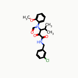 COc1ccccc1N(C=O)C(C(=O)C(=O)NCc1cccc(Cl)c1)C(C)C